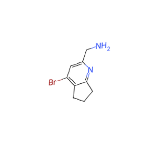 NCc1cc(Br)c2c(n1)CCC2